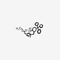 CCOC(=O)Cn1cnc(C=C2CN(C(c3ccccc3)(c3ccccc3)c3ccccc3)CCC2O)c1